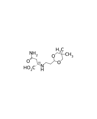 CC1(C)COC(CCN[C@@H](CC(N)=O)C(=O)O)OC1